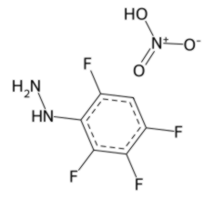 NNc1c(F)cc(F)c(F)c1F.O=[N+]([O-])O